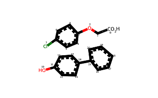 O=C(O)COc1ccc(Cl)cc1.Oc1ccc(-c2ccccc2)cc1